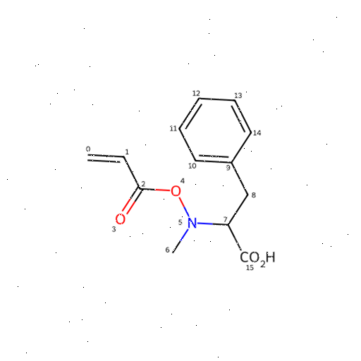 C=CC(=O)ON(C)C(Cc1ccccc1)C(=O)O